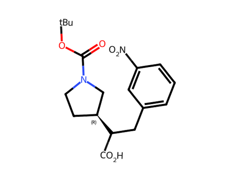 CC(C)(C)OC(=O)N1CC[C@H](C(Cc2cccc([N+](=O)[O-])c2)C(=O)O)C1